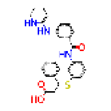 O=C(O)CC(Sc1cccc(NC(=O)c2cccc(NC3=CCCCN3)c2)c1)c1ccccc1